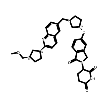 COC[C@@H]1CC[C@H](c2ccc3cc(CN4CC[C@H](Oc5ccc6c(c5)CN(C5CCC(=O)NC5=O)C6=O)C4)ccc3n2)C1